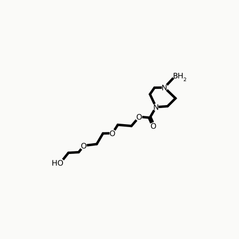 BN1CCN(C(=O)OCCOCCOCCO)CC1